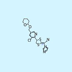 N#C/C(=C1/SCC(c2ncc(COC3CCCCO3)cc2Cl)S1)n1ccnc1